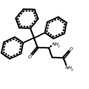 NC(=O)C[C@H](N)C(=O)C(c1ccccc1)(c1ccccc1)c1ccccc1